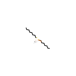 CCCCCCCCSCCCCCCCC.P.[Zn].[Zn]